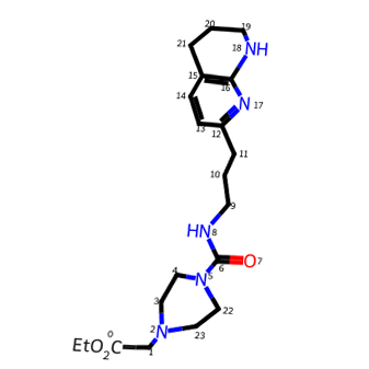 CCOC(=O)CN1CCN(C(=O)NCCCc2ccc3c(n2)NCCC3)CC1